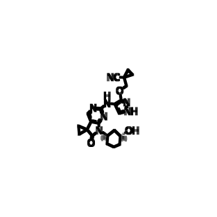 N#CC1(COc2n[nH]cc2Nc2ncc3c(n2)N([C@@H]2CCC[C@@H](O)C2)C(=O)C32CC2)CC1